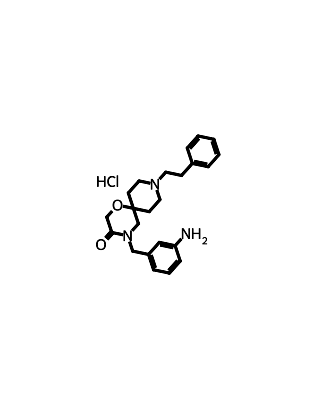 Cl.Nc1cccc(CN2CC3(CCN(CCc4ccccc4)CC3)OCC2=O)c1